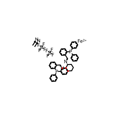 C(=N[C@@H]1CCCC[C@H]1N=Cc1ccccc1P(c1ccccc1)c1ccccc1)c1ccccc1P(c1ccccc1)c1ccccc1.CC#N.CC#N.F[B-](F)(F)F.F[B-](F)(F)F.[Fe+2]